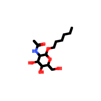 CCCCCCOC1OC(CO)C(O)C(O)C1NC(C)=O